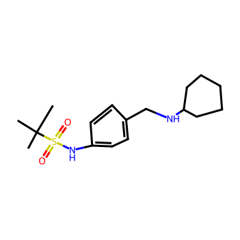 CC(C)(C)S(=O)(=O)Nc1ccc(CNC2CCCCC2)cc1